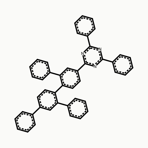 c1ccc(-c2ccc(-c3ccc(-c4nc(-c5ccccc5)nc(-c5ccccc5)n4)cc3-c3ccccc3)c(-c3ccccc3)c2)cc1